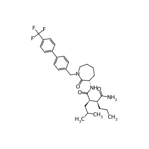 CCC[C@H](C(N)=O)[C@@H](CC(C)C)C(=O)N[C@H]1CCCCN(Cc2ccc(-c3ccc(C(F)(F)F)cc3)cc2)C1=O